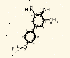 Cc1cc(-c2ccc(OC(F)(F)F)cc2)cn(N)c1=N